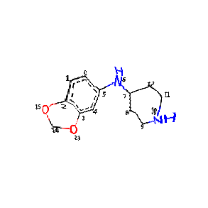 c1cc2c(cc1NC1CCNCC1)OCO2